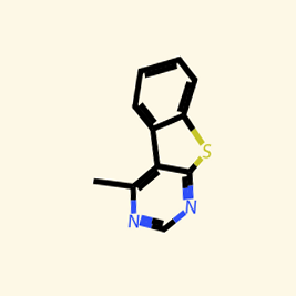 Cc1ncnc2sc3ccccc3c12